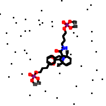 CCOP(=O)(OCC)OCCCCNC(=O)C1C(C(=O)OCCCCOP(=O)(OCC)OCC)[C@H]2C=CC[C@@H]1N2Cc1ccccc1